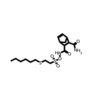 CCCCCCSCCS(=O)(=O)ONC(=O)C1C2C=CC(C2)C1C(N)=O